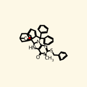 Cn1c(SCc2ccccc2)nc2c(c1=O)NC(C13CC4CC(CC1C4)C3)N2C(c1ccccc1)(c1ccccc1)c1ccccc1